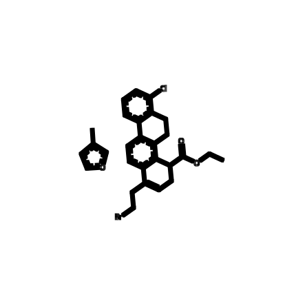 CCOC(=O)C1CC=C(CCBr)c2ccc3c(c21)CCc1c(Cl)cccc1-3.Cc1ccoc1